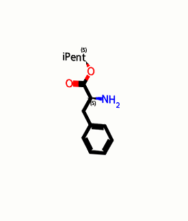 CCC[C@H](C)OC(=O)[C@@H](N)Cc1ccccc1